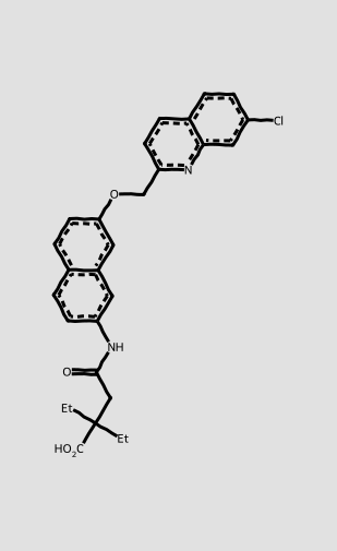 CCC(CC)(CC(=O)Nc1ccc2ccc(OCc3ccc4ccc(Cl)cc4n3)cc2c1)C(=O)O